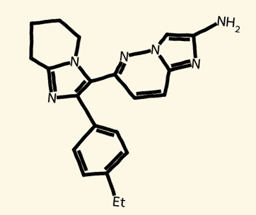 CCc1ccc(-c2nc3n(c2-c2ccc4nc(N)cn4n2)CCCC3)cc1